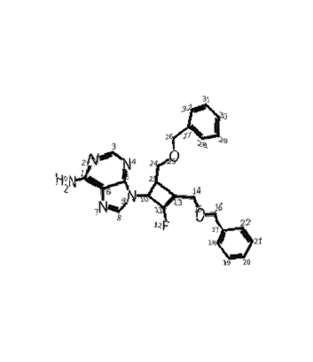 Nc1ncnc2c1ncn2C1C(F)C(COCc2ccccc2)C1COCc1ccccc1